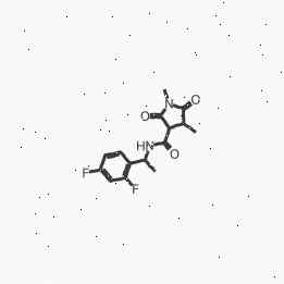 CC(NC(=O)C1C(=O)N(C)C(=O)C1C)c1ccc(F)cc1F